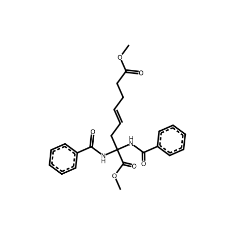 COC(=O)CCC=CCC(NC(=O)c1ccccc1)(NC(=O)c1ccccc1)C(=O)OC